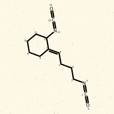 O=C=NCCCC=C1CCCCC1N=C=O